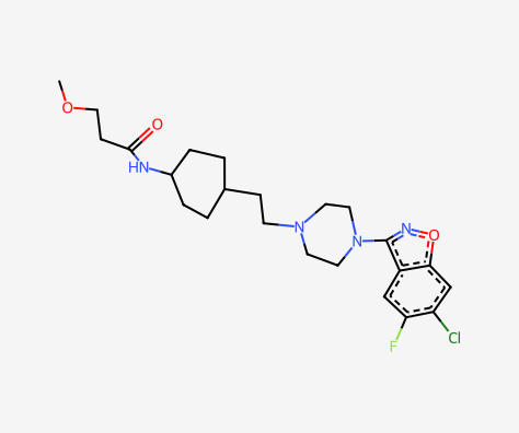 COCCC(=O)NC1CCC(CCN2CCN(c3noc4cc(Cl)c(F)cc34)CC2)CC1